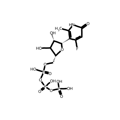 Cc1[nH]c(=O)cc(F)c1[C@@H]1O[C@H](COP(=O)(O)OP(=O)(O)OP(=O)(O)O)C(O)[C@@H]1O